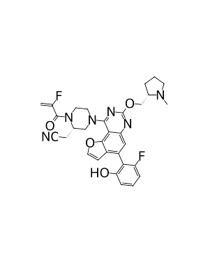 C=C(F)C(=O)N1CCN(c2nc(OC[C@@H]3CCCN3C)nc3cc(-c4c(O)cccc4F)c4ccoc4c23)C[C@@H]1CC#N